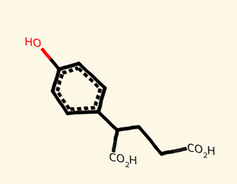 O=C(O)CCC(C(=O)O)c1ccc(O)cc1